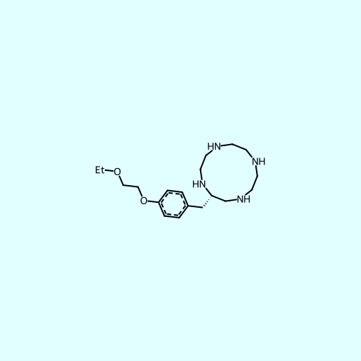 CCOCCOc1ccc(C[C@H]2CNCCNCCNCCN2)cc1